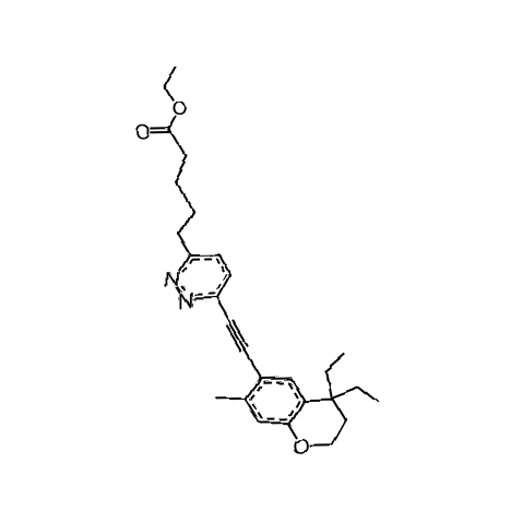 CCOC(=O)CCCCc1ccc(C#Cc2cc3c(cc2C)OCCC3(CC)CC)nn1